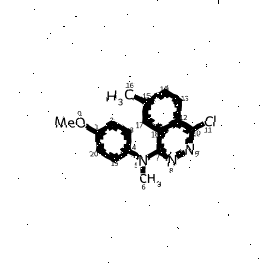 COc1ccc(N(C)c2nnc(Cl)c3ccc(C)cc23)cc1